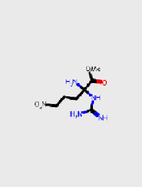 COC(=O)C(N)(CCC[N+](=O)[O-])NC(=N)N